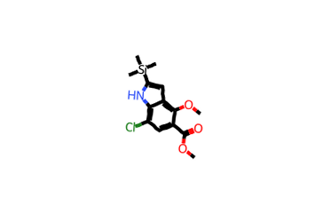 COC(=O)c1cc(Cl)c2[nH]c([Si](C)(C)C)cc2c1OC